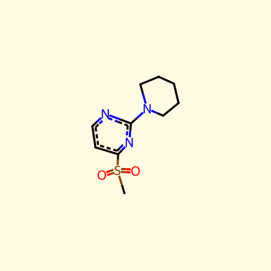 CS(=O)(=O)c1ccnc(N2CCCCC2)n1